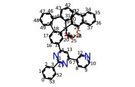 c1ccc(-c2nc(-c3cccnc3)cc(-c3ccc4c(c3)C3(c5ccccc5Sc5c3ccc3ccccc53)c3ccccc3-c3ccccc3-4)n2)cc1